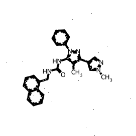 Cc1c(-c2cnn(C)c2)nn(-c2ccccc2)c1NC(=O)NCc1cccc2ccccc12